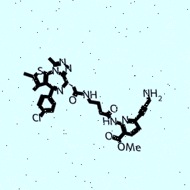 COC(=O)c1ccc(C#CCN)nc1NC(=O)CCCNC(=O)C[C@@H]1N=C(c2ccc(Cl)cc2)c2c(sc(C)c2C)-n2c(C)nnc21